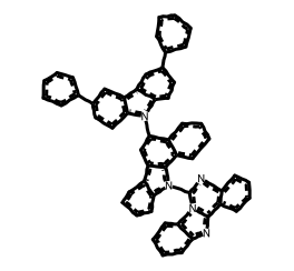 c1ccc(-c2ccc3c(c2)c2cc(-c4ccccc4)ccc2n3-c2cc3c4ccccc4n(-c4nc5ccccc5c5nc6ccccc6n45)c3c3ccccc23)cc1